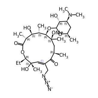 CC[C@H]1OC(=O)[C@H](C)[C@@H](O)[C@H](C)[C@@H](OC2O[C@H](C)C[C@H](N(C)C)[C@H]2O)[C@@](C)(OC)C[C@@H](C)C(=O)/C(CN=[N+]=[N-])=C/[C@]1(C)O